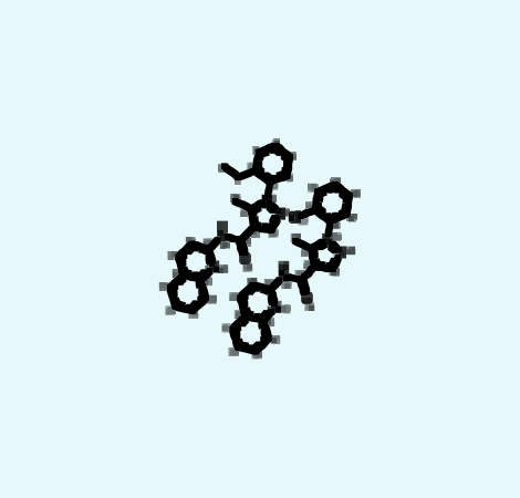 CCc1ccccc1-n1ncc(C(=O)Nc2ccc3ccccc3n2)c1C.Cc1c(C(=O)Nc2ccc3ccccc3n2)cnn1-c1ccccc1Cl